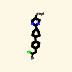 CCCCCCCc1cnc(-c2ccc(-c3ccc(C[C@H](Cl)CC)cc3)cc2)nc1